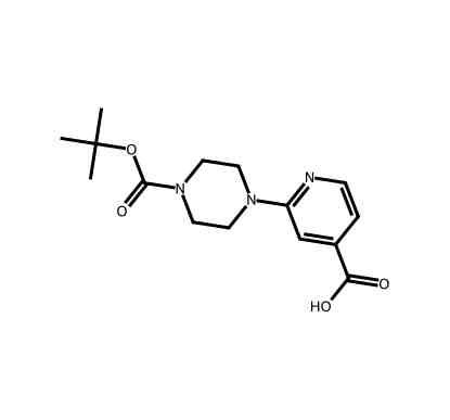 CC(C)(C)OC(=O)N1CCN(c2cc(C(=O)O)ccn2)CC1